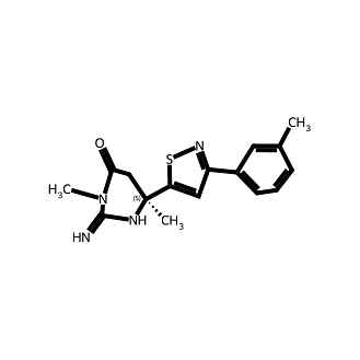 Cc1cccc(-c2cc([C@]3(C)CC(=O)N(C)C(=N)N3)sn2)c1